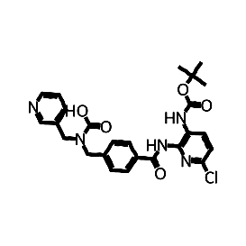 CC(C)(C)OC(=O)Nc1ccc(Cl)nc1NC(=O)c1ccc(CN(Cc2cccnc2)C(=O)O)cc1